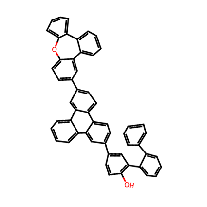 Oc1ccc(-c2ccc3c4ccc(-c5ccc6c(c5)-c5ccccc5-c5ccccc5O6)cc4c4ccccc4c3c2)cc1-c1ccccc1-c1ccccc1